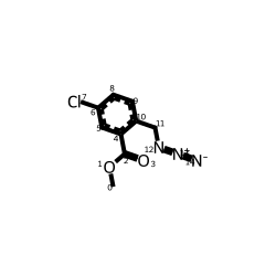 COC(=O)c1cc(Cl)ccc1CN=[N+]=[N-]